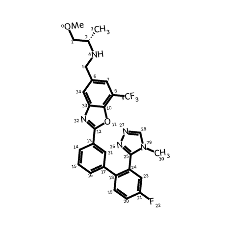 COC[C@H](C)NCc1cc(C(F)(F)F)c2oc(-c3cccc(-c4ccc(F)cc4-c4nncn4C)c3)nc2c1